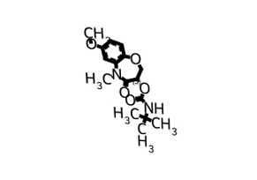 COc1ccc2c(c1)N(C)C(=O)[C@@H](OC(=O)NC(C)(C)C)CO2